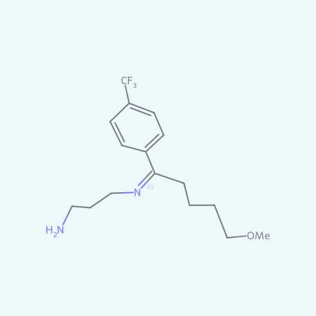 COCCCC/C(=N/CCCN)c1ccc(C(F)(F)F)cc1